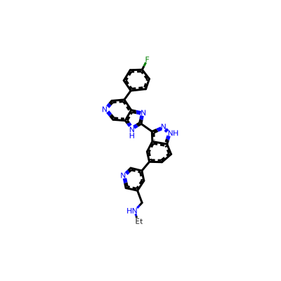 CCNCc1cncc(-c2ccc3[nH]nc(-c4nc5c(-c6ccc(F)cc6)cncc5[nH]4)c3c2)c1